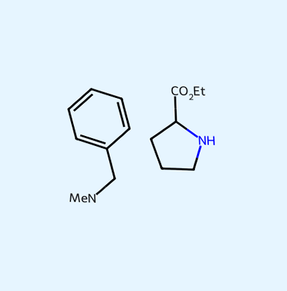 CCOC(=O)C1CCCN1.CNCc1ccccc1